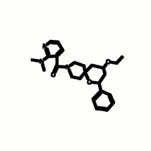 CCOC1CC(c2ccccc2)OC2(CCN(C(=O)c3cccnc3N(C)C)CC2)C1